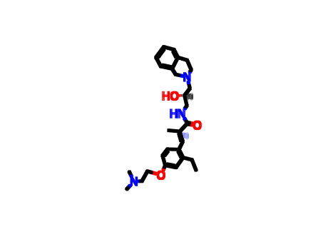 CCc1cc(OCCN(C)C)ccc1/C=C(\C)C(=O)NC[C@H](O)CN1CCc2ccccc2C1